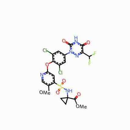 COC(=O)C1(NS(=O)(=O)c2cc(Oc3c(Cl)cc(-n4nc(C(F)F)c(=O)[nH]c4=O)cc3Cl)ncc2OC)CC1